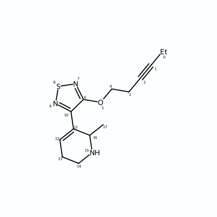 CCC#CCCOc1nsnc1C1=CCCNC1C